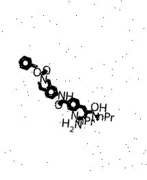 CCCN(CCC)C(O)C1=Cc2ccc(C(=O)Nc3ccc4c(c3)CN(C(=O)OCc3ccccc3)CC4)cc2N=C(N)C1